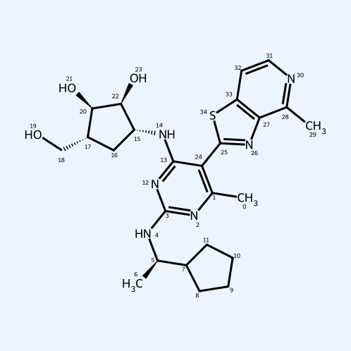 Cc1nc(N[C@H](C)C2CCCC2)nc(N[C@@H]2C[C@H](CO)[C@@H](O)[C@H]2O)c1-c1nc2c(C)nccc2s1